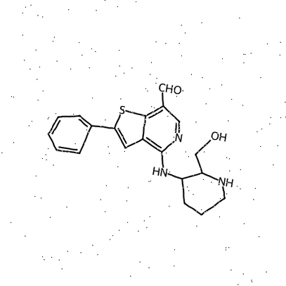 O=[C]c1cnc(NC2CCCNC2CO)c2cc(-c3ccccc3)sc12